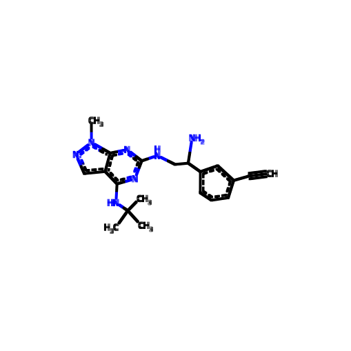 C#Cc1cccc(C(N)CNc2nc(NC(C)(C)C)c3cnn(C)c3n2)c1